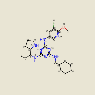 CCC(Nc1nc(NCC2CCCCC2)nc(Nc2cnc(OC)c(F)c2)n1)C1CCCN1